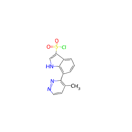 Cc1ccnnc1-c1cccc2c(S(=O)(=O)Cl)c[nH]c12